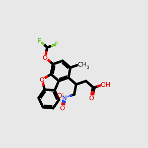 Cc1cc(OC(F)F)c2oc3ccccc3c2c1C(CC(=O)O)C[N+](=O)[O-]